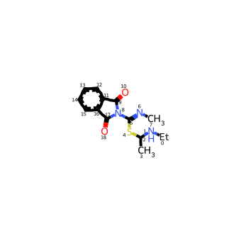 CCNC(C)S/C(=N\C)N1C(=O)c2ccccc2C1=O